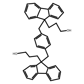 OCCCC1(Cc2ccc(CC3(CCCO)c4ccccc4-c4ccccc43)cc2)c2ccccc2-c2ccccc21